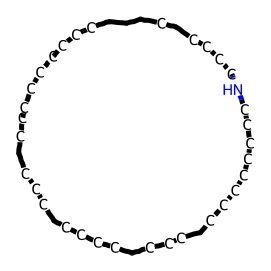 C1CCCCCCCCCCCCCCCCCCCCNCCCCCCCCCCCCCCCCCCC1